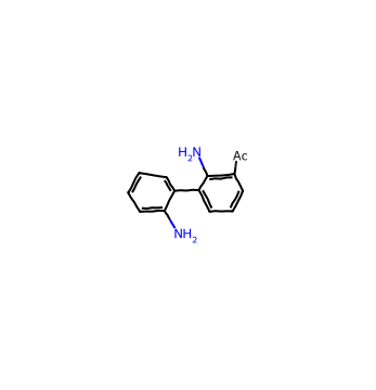 CC(=O)c1cccc(-c2ccccc2N)c1N